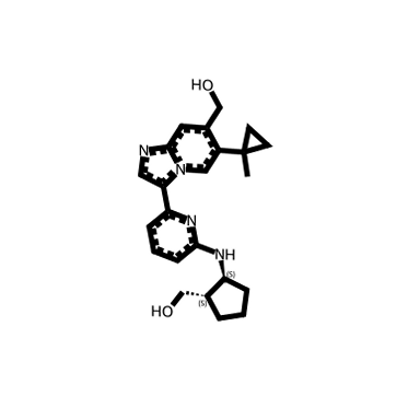 CC1(c2cn3c(-c4cccc(N[C@H]5CCC[C@@H]5CO)n4)cnc3cc2CO)CC1